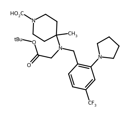 CC(C)(C)OC(=O)CN(Cc1ccc(C(F)(F)F)cc1N1CCCC1)C1(C)CCN(C(=O)O)CC1